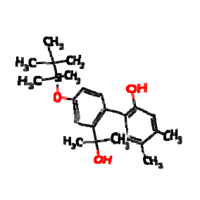 Cc1cc(O)c(-c2ccc(O[Si](C)(C)C(C)(C)C)cc2C(C)(C)O)cc1C